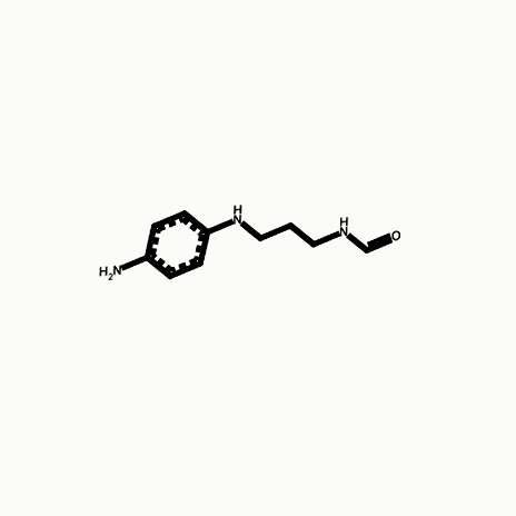 Nc1ccc(NCCCNC=O)cc1